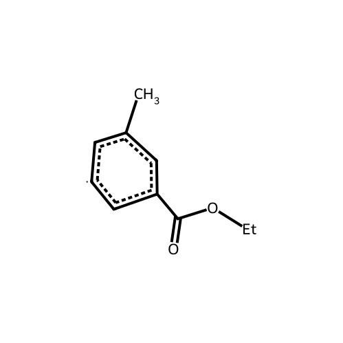 CCOC(=O)c1c[c]cc(C)c1